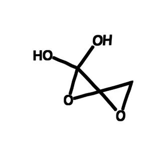 OC1(O)OC12CO2